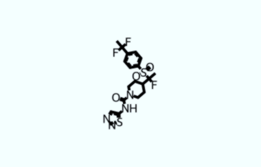 CC(F)(F)c1ccc(S(=O)(=O)C(C)(F)C2CCN(C(=O)Nc3cnns3)CC2)cc1